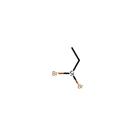 CC[Si](Br)Br